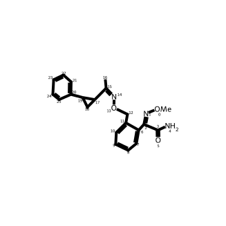 CON=C(C(N)=O)c1ccccc1CON=C(C)C1CC1c1ccccc1